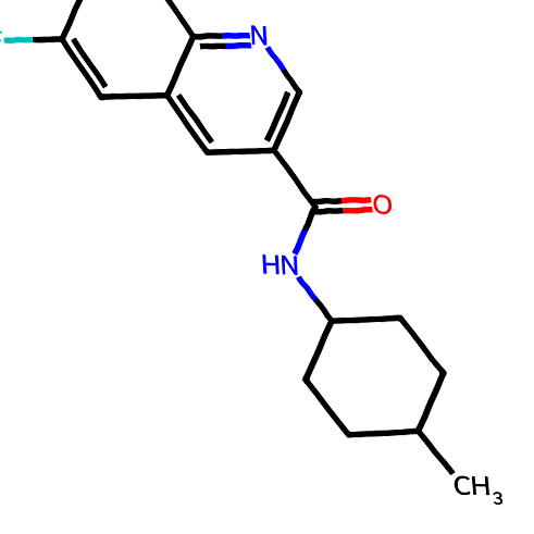 CC1CCC(NC(=O)c2cnc3ccc(F)cc3c2)CC1